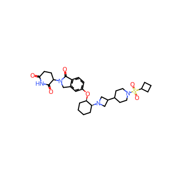 O=C1CCC(N2Cc3cc(O[C@@H]4CCCC[C@@H]4N4CC(C5CCN(S(=O)(=O)C6CCC6)CC5)C4)ccc3C2=O)C(=O)N1